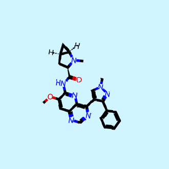 COc1cc2ncnc(-c3cn(C)nc3-c3ccccc3)c2nc1NC(=O)[C@H]1C[C@H]2C[C@H]2N1C